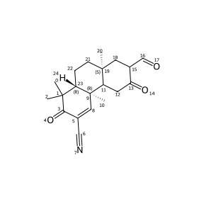 CC1(C)C(=O)C(C#N)=C[C@]2(C)C3CC(=O)C(C=O)C[C@]3(C)CC[C@@H]12